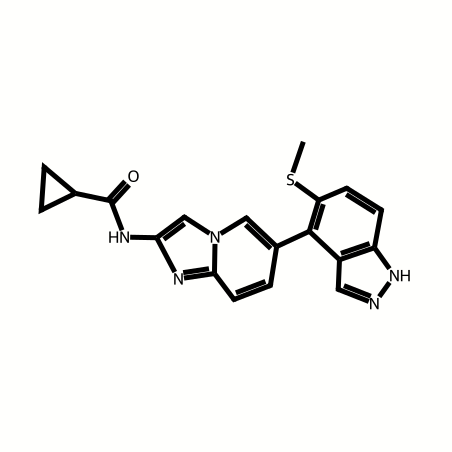 CSc1ccc2[nH]ncc2c1-c1ccc2nc(NC(=O)C3CC3)cn2c1